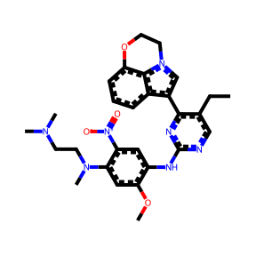 CCc1cnc(Nc2cc([N+](=O)[O-])c(N(C)CCN(C)C)cc2OC)nc1-c1cn2c3c(cccc13)OCC2